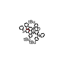 CC(C)(C)c1ccc(N(c2ccccc2)c2cc3c4c(c2)N(c2ccc(C(C)(C)C)cc2-c2cccc(Sc5ccccc5)c2)c2cc5c(cc2B4c2cc(C(C)(C)C)ccc2O3)-c2ccccc2C5)cc1